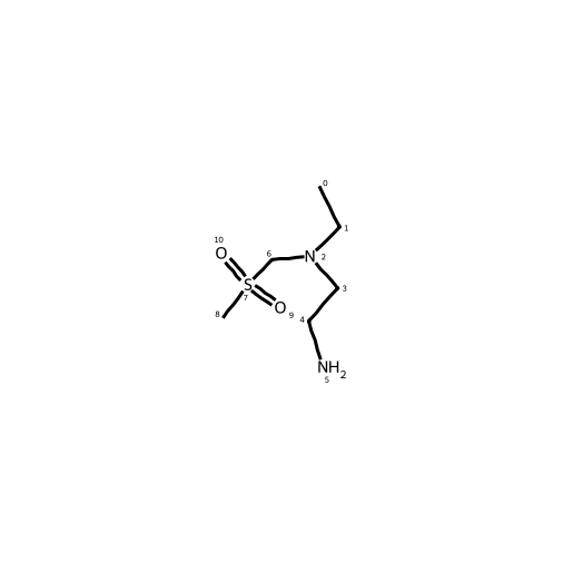 CCN(CCN)CS(C)(=O)=O